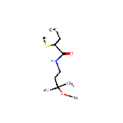 CCCCOC(C)(C)CCNC(=O)C(CC=O)SC(C)C